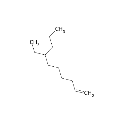 C=CCCCCC(CC)CCC